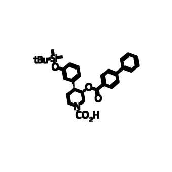 CC(C)(C)[Si](C)(C)Oc1cccc([C@H]2CCN(C(=O)O)C[C@@H]2OC(=O)c2ccc(-c3ccccc3)cc2)c1